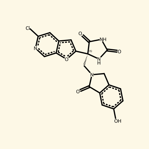 O=C1NC(=O)[C@](CN2Cc3ccc(O)cc3C2=O)(c2cc3cc(Cl)ncc3o2)N1